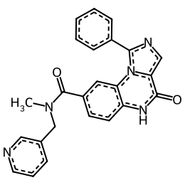 CN(Cc1cccnc1)C(=O)c1ccc2[nH]c(=O)c3cnc(-c4ccccc4)n3c2c1